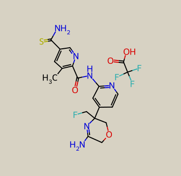 Cc1cc(C(N)=S)cnc1C(=O)Nc1cc(C2(CF)COCC(N)=N2)ccn1.O=C(O)C(F)(F)F